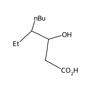 CCCCC(CC)C(O)CC(=O)O